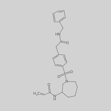 C=CC(=O)NC1CCCCN(S(=O)(=O)c2ccc(CC(=O)NCc3ccccc3)cc2)C1